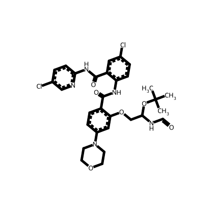 CC(C)(C)OC(COc1cc(N2CCOCC2)ccc1C(=O)Nc1ccc(Cl)cc1C(=O)Nc1ccc(Cl)cn1)NC=O